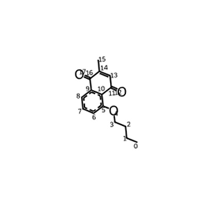 CCCCOc1cccc2c1C(=O)C=C(C)C2=O